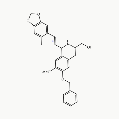 COc1cc2c(cc1OCc1ccccc1)CC(CO)NC2/C=C/c1cc2c(cc1C)OCO2